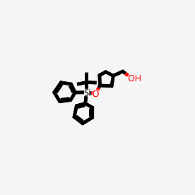 CC(C)(C)[Si](OC1CCC(CO)C1)(c1ccccc1)c1ccccc1